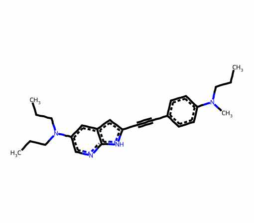 CCCN(C)c1ccc(C#Cc2cc3cc(N(CCC)CCC)cnc3[nH]2)cc1